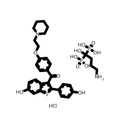 Cl.NCCCC(O)(P(=O)(O)O)P(=O)(O)O.O=C(c1ccc(OCCN2CCCCC2)cc1)c1c(-c2ccc(O)cc2)sc2cc(O)ccc12